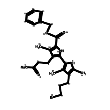 COC(=O)CCc1c(-c2[nH]c(C)c(CCCBr)c2C)[nH]c(C(=O)OCc2ccccc2)c1C